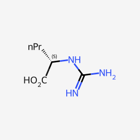 CCC[C@H](NC(=N)N)C(=O)O